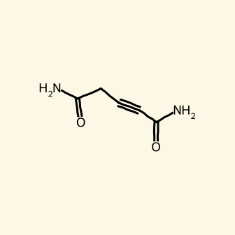 NC(=O)C#CCC(N)=O